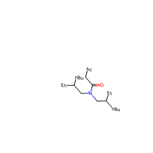 CCCCC(CC)CN(CC(CC)CCCC)C(=O)CC(C)=O